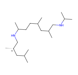 CC(C)C[C@H](C)CNC(C)CCC(C)CC(C)CNC(C)C